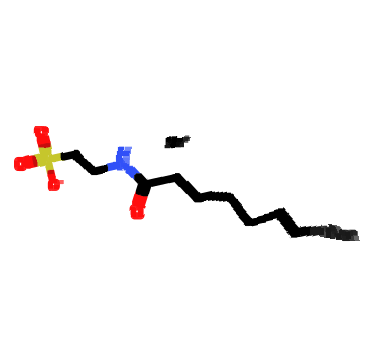 CCCCCCCCCCCCCCCC(=O)NCCS(=O)(=O)[O-].[Na+]